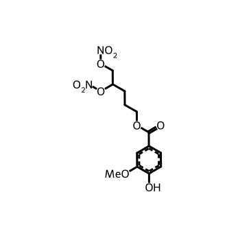 COc1cc(C(=O)OCCCC(CO[N+](=O)[O-])O[N+](=O)[O-])ccc1O